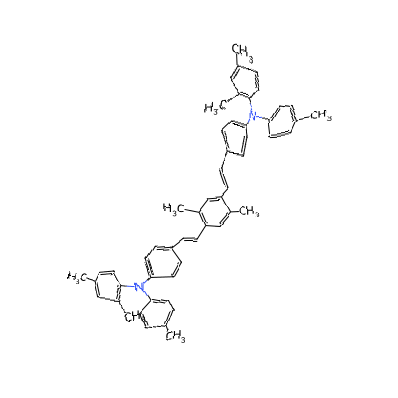 Cc1ccc(N(c2ccc(C=Cc3cc(C)c(C=Cc4ccc(N(c5ccc(C)cc5)c5ccc(C)cc5C)cc4)cc3C)cc2)c2ccc(C)cc2C)cc1